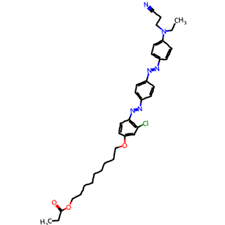 CCC(=O)OCCCCCCCCCOc1ccc(N=Nc2ccc(N=Nc3ccc(N(CC)CCC#N)cc3)cc2)c(Cl)c1